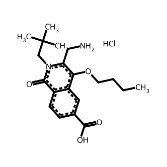 CCCCOc1c(CN)n(CC(C)(C)C)c(=O)c2ccc(C(=O)O)cc12.Cl